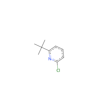 CC(C)(C)c1cccc(Cl)n1